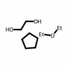 C1CCCC1.CCOCC.OCCO